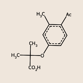 CC(=O)c1ccc(OC(C)(C)C(=O)O)cc1C